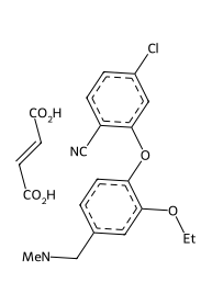 CCOc1cc(CNC)ccc1Oc1cc(Cl)ccc1C#N.O=C(O)C=CC(=O)O